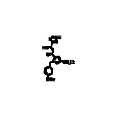 CCOC(=O)c1cc(C(=O)C=C(O)c2nc[nH]n2)n(Cc2ccc(OC)cc2)c1